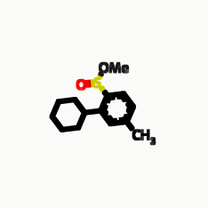 COS(=O)c1ccc(C)cc1C1CCCCC1